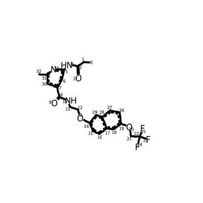 CCC(=O)Nc1cc(C(=O)NCCOc2ccc3cc(OCC(F)(F)F)ccc3c2)cc(C)n1